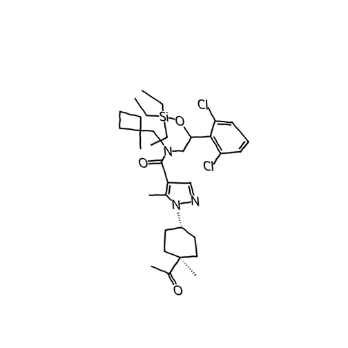 CC[Si](CC)(CC)OC(CN(CC1(C)CCC1)C(=O)c1cnn([C@H]2CC[C@](C)(C(C)=O)CC2)c1C)c1c(Cl)cccc1Cl